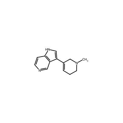 CN1CCC=C(c2c[nH]c3ccncc23)C1